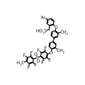 CC(=O)c1ccc(Oc2ccc(-c3ccc(Oc4c(F)c(F)c(S(=O)(=O)c5c(F)c(F)c(C)c(F)c5F)c(F)c4F)c(C)c3)cc2C)c(CS(=O)(=O)O)c1